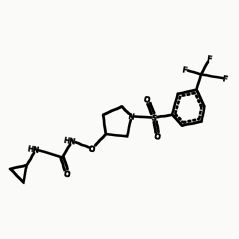 O=C(NOC1CCN(S(=O)(=O)c2cccc(C(F)(F)F)c2)C1)NC1CC1